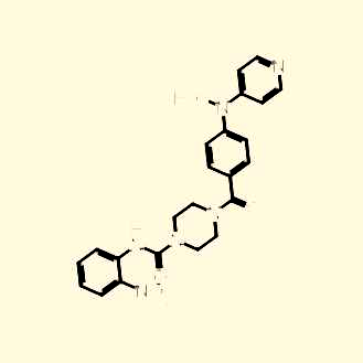 CN(c1ccncc1)c1ccc(C(=O)N2CCN(C(=O)Nc3ccccc3[N+](=O)[O-])CC2)cc1